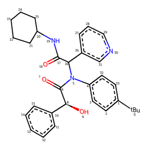 CC(C)(C)c1ccc(N(C(=O)[C@@H](O)c2ccccc2)C(C(=O)NC2CCCCC2)c2cccnc2)cc1